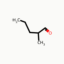 [CH2]CCC(C)C=O